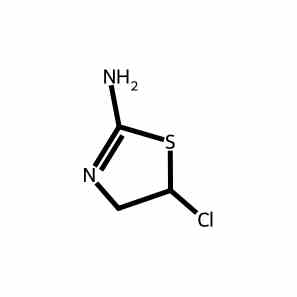 NC1=NCC(Cl)S1